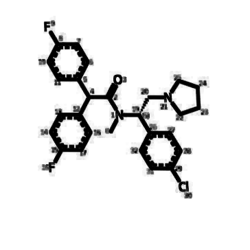 CN(C(=O)C(c1ccc(F)cc1)c1ccc(F)cc1)[C@H](CN1CCCC1)c1ccc(Cl)cc1